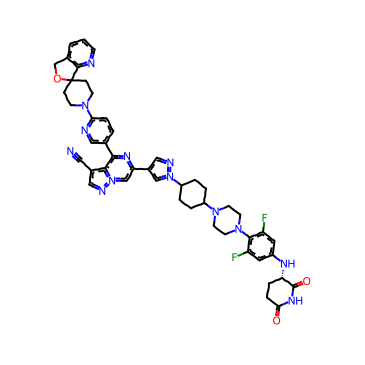 N#Cc1cnn2cc(-c3cnn(C4CCC(N5CCN(c6c(F)cc(N[C@H]7CCC(=O)NC7=O)cc6F)CC5)CC4)c3)nc(-c3ccc(N4CCC5(CC4)OCc4cccnc45)nc3)c12